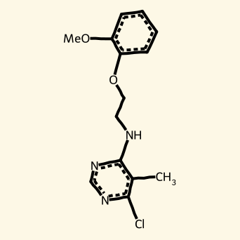 COc1ccccc1OCCNc1ncnc(Cl)c1C